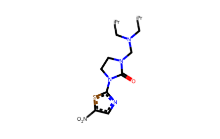 CC(C)CN(CC(C)C)CN1CCN(c2ncc([N+](=O)[O-])s2)C1=O